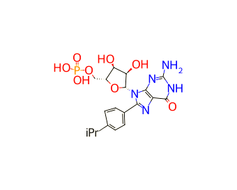 CC(C)c1ccc(-c2nc3c(=O)[nH]c(N)nc3n2[C@@H]2O[C@H](COP(=O)(O)O)[C@@H](O)[C@H]2O)cc1